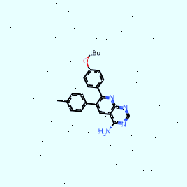 Cc1ccc(-c2cc3c(N)ncnc3nc2-c2ccc(OC(C)(C)C)cc2)cc1